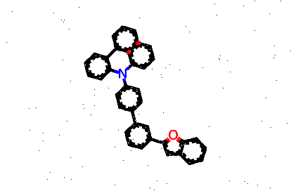 c1ccc(-c2ccccc2N(c2ccccc2)c2ccc(-c3cccc(-c4cc5ccccc5o4)c3)cc2)cc1